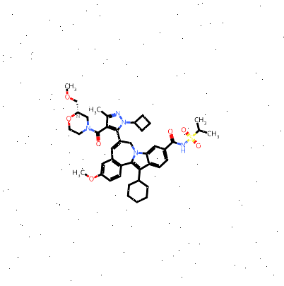 COC[C@@H]1CN(C(=O)c2c(C)nn(C3CCC3)c2C2=Cc3cc(OC)ccc3-c3c(C4CCCCC4)c4ccc(C(=O)NS(=O)(=O)C(C)C)cc4n3C2)CCO1